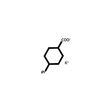 CC(C)C1CCC(C(=O)[O-])CC1.[K+]